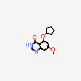 COc1cc(OC2CCCC2)c2c(=O)[nH]cnc2c1